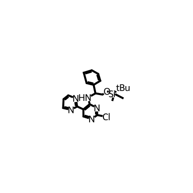 CC(C)(C)[Si](C)(C)OCC(Nc1nc(Cl)ncc1-c1ncccn1)c1ccccc1